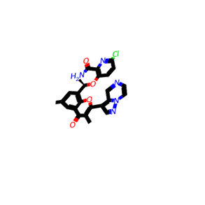 Cc1cc([C@@H](C)Oc2ccc(Cl)nc2C(N)=O)c2oc(-c3cnn4ccncc34)c(C)c(=O)c2c1